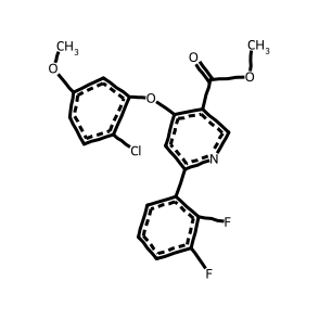 COC(=O)c1cnc(-c2cccc(F)c2F)cc1Oc1cc(OC)ccc1Cl